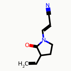 C=CC1CCN(C=CC#N)C1=O